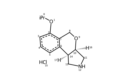 CC(C)Oc1cccc2c1CO[C@H]1CNC[C@@H]21.Cl